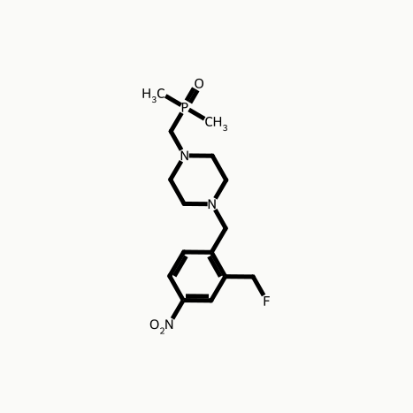 CP(C)(=O)CN1CCN(Cc2ccc([N+](=O)[O-])cc2CF)CC1